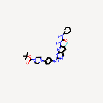 CC(C)(C)OC(=O)N1CCN(c2ccc(Nc3ncc4cc(F)c(NC(=O)NC5CCCCC5)nc4n3)cc2)CC1